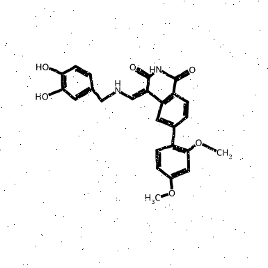 COc1ccc(-c2ccc3c(c2)C(=CNCc2ccc(O)c(O)c2)C(=O)NC3=O)c(OC)c1